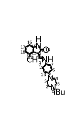 CCC(C)N1CCN(c2ccc(NC=C3C(=O)Nc4cccc(C)c43)cc2)CC1